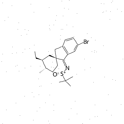 CC[C@H]1C[C@@]2(CC[C@@H]1C)Cc1ccc(Br)cc1/C2=N/[S@@+]([O-])C(C)(C)C